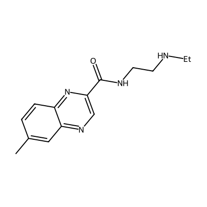 CCNCCNC(=O)c1cnc2cc(C)ccc2n1